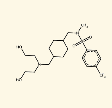 CN(CC1CCC(CN(CCO)CCO)CC1)S(=O)(=O)c1ccc(C(F)(F)F)cc1